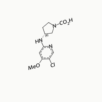 COc1cc(N[C@@H]2CCN(C(=O)O)C2)ncc1Cl